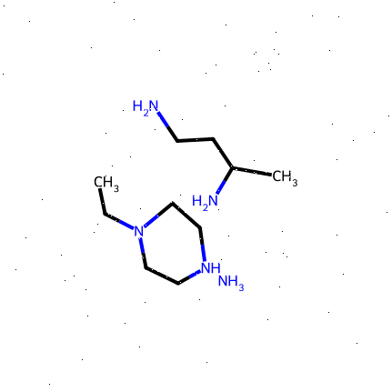 CC(N)CCN.CCN1CCNCC1.N